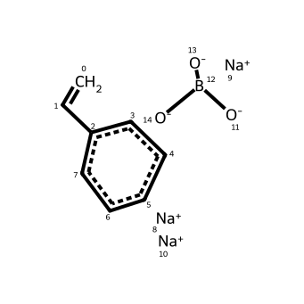 C=Cc1ccccc1.[Na+].[Na+].[Na+].[O-]B([O-])[O-]